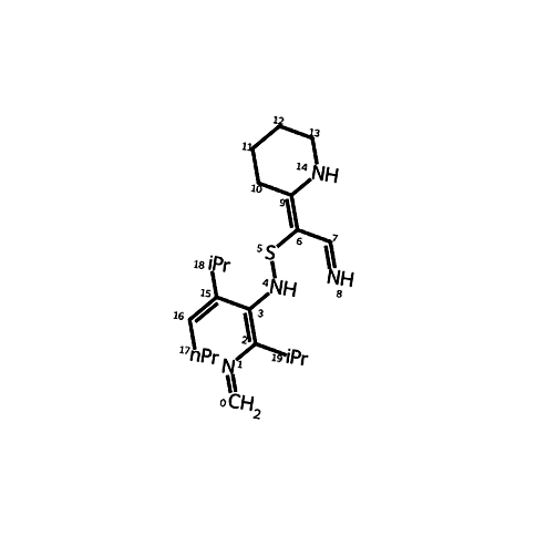 C=N/C(=C(NS/C(C=N)=C1\CCCCN1)\C(=C/CCC)C(C)C)C(C)C